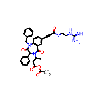 CC(CC(=O)OC(=O)C(F)(F)F)N1C(=O)c2cc(C#CC(=O)NCCNC(=N)N)ccc2N(Cc2ccccc2)C(=O)C1c1ccccc1